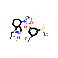 CC[S+]([O-])c1cc(C(F)(F)F)cc(S(=O)(=O)N(C)[C@@H]2CCCc3c2cnn3CC(=O)O)c1